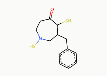 O=C1[CH]CN(S)CC(Cc2ccccc2)C1S